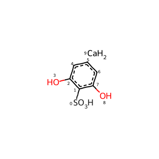 O=S(=O)(O)c1c(O)cccc1O.[CaH2]